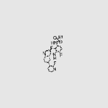 CCS(=O)(=O)Nc1ccc(F)c(Nc2ncnc3ccc(-c4cccnc4F)cc23)c1F